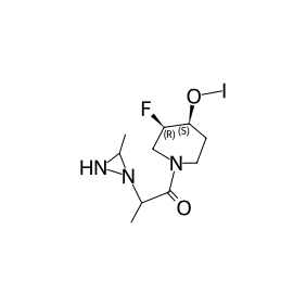 CC1NN1C(C)C(=O)N1CC[C@H](OI)[C@H](F)C1